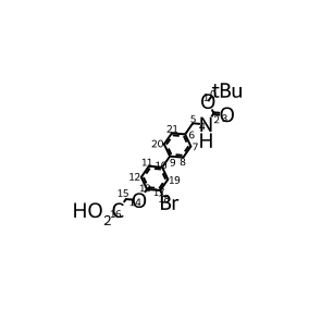 CC(C)(C)OC(=O)NCc1ccc(-c2ccc(OCC(=O)O)c(Br)c2)cc1